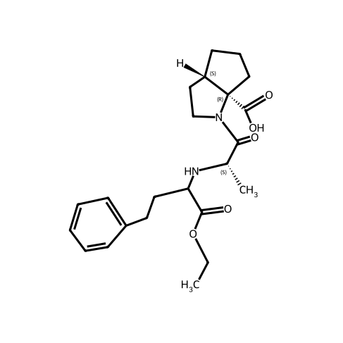 CCOC(=O)C(CCc1ccccc1)N[C@@H](C)C(=O)N1CC[C@@H]2CCC[C@]21C(=O)O